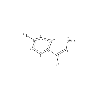 CCCCCC/C=C(/C)c1ccc(I)cc1